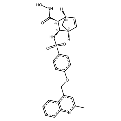 Cc1cc(COc2ccc(S(=O)(=O)N[C@H]3[C@@H](C(=O)NO)[C@@H]4C=C[C@H]3C4)cc2)c2ccccc2n1